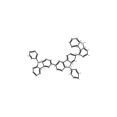 c1ccc(-n2c3ccccc3c3cc(-c4ccc5c(c4)c4ccc(-c6cccc7oc8ccccc8c67)cc4n5-c4ccccc4)ccc32)cc1